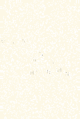 COc1cccc(Cc2nc3c(N)nc(NCC(C)N)nc3n2C2CCCCC2)c1N